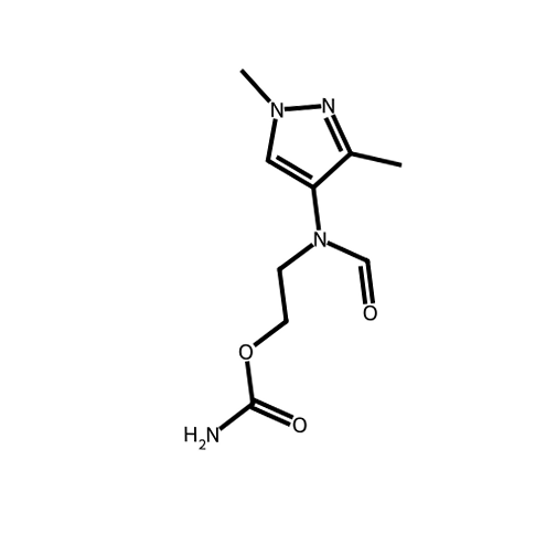 Cc1nn(C)cc1N(C=O)CCOC(N)=O